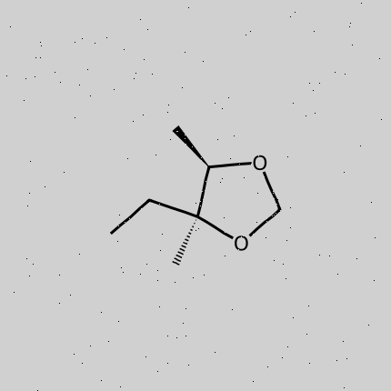 CC[C@]1(C)OCO[C@@H]1C